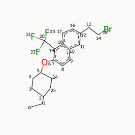 CCC1CCC(Oc2ccc3cc(CCBr)ccc3c2C(F)(F)F)CC1